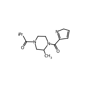 CC(C)C(=O)N1CCN(C(=O)C2=NCC=C2)C(C)C1